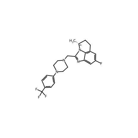 C[C@@H]1CCc2cc(F)cc3nc(CN4CCN(c5ccc(C(F)(F)F)cc5)CC4)n1c23